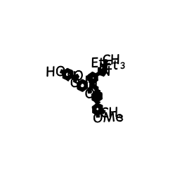 CCC(C)(CC)n1cc(-c2ccnc(N(CC34CCC(c5ccc(OC)c(C)c5)(CC3)CC4)C(=O)[C@H]3CC[C@H](OC(=O)N4CCC(O)CC4)CC3)c2)cn1